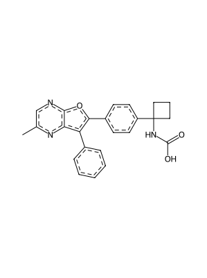 Cc1cnc2oc(-c3ccc(C4(NC(=O)O)CCC4)cc3)c(-c3ccccc3)c2n1